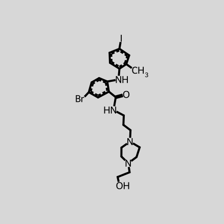 Cc1cc(I)ccc1Nc1ccc(Br)cc1C(=O)NCCCN1CCN(CCO)CC1